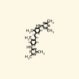 Cc1nc(C)nc(Nc2ccc(/C=C/c3ccc(Nc4nc(C)nc(C)n4)cc3C)c(C)c2)n1